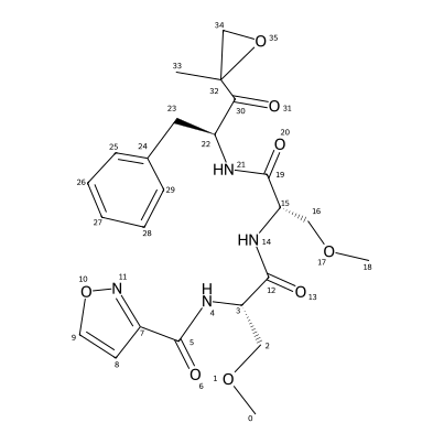 COC[C@H](NC(=O)c1ccon1)C(=O)N[C@@H](COC)C(=O)N[C@@H](Cc1ccccc1)C(=O)C1(C)CO1